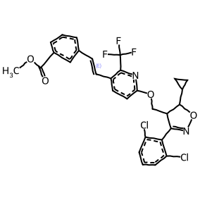 COC(=O)c1cccc(/C=C/c2ccc(OCC3C(c4c(Cl)cccc4Cl)=NOC3C3CC3)nc2C(F)(F)F)c1